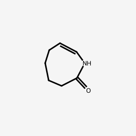 O=C1CCCCC=CN1